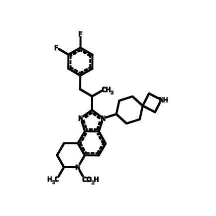 CC(Cc1ccc(F)c(F)c1)c1nc2c3c(ccc2n1C1CCC2(CC1)CNC2)N(C(=O)O)C(C)CC3